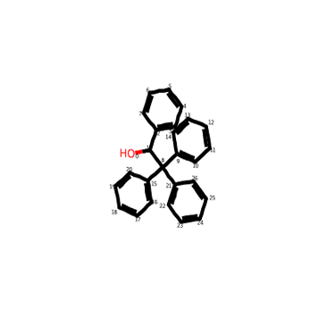 OC(c1ccccc1)C(c1ccccc1)(c1ccccc1)c1ccccc1